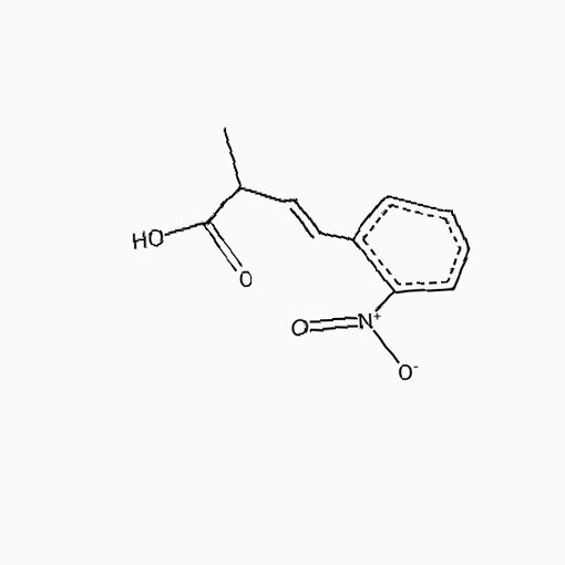 CC(C=Cc1ccccc1[N+](=O)[O-])C(=O)O